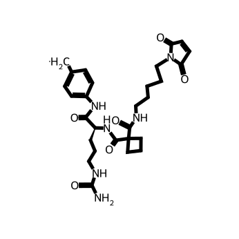 [CH2]c1ccc(NC(=O)[C@H](CCCNC(N)=O)NC(=O)C2(C(=O)NCCCCCN3C(=O)C=CC3=O)CCC2)cc1